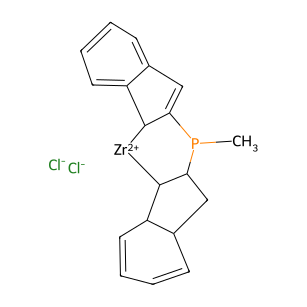 CP1C2=Cc3ccccc3[CH]2[Zr+2][CH]2C3C=CC=CC3CC21.[Cl-].[Cl-]